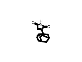 O=C1C=C(C23CC4CC(CC(C4)C2)C3)C(=O)N1